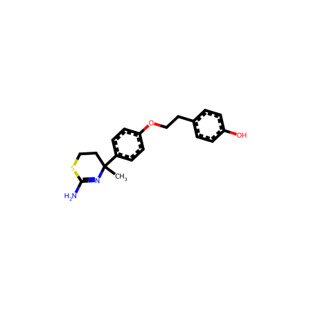 CC1(c2ccc(OCCc3ccc(O)cc3)cc2)CCSC(N)=N1